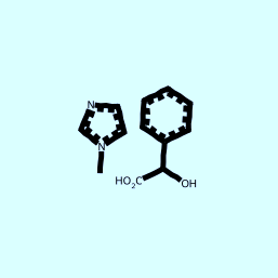 Cn1ccnc1.O=C(O)C(O)c1ccccc1